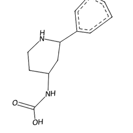 O=C(O)NC1CCNC(c2ccccc2)C1